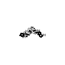 Cc1ccc(S(=O)(=O)N[C@@H](CC(C)C)CN2CC(=O)C(NC(=O)[C@H](CC(C)C)NC(=O)c3ccc4c(c3)CCCN4)C2)cc1